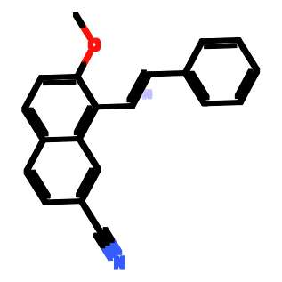 COc1ccc2ccc(C#N)cc2c1/C=C/c1ccccc1